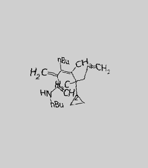 C=CCC(C)(/C(C)=C(/CCCC)C(=C)C(=C)NCCCC)C1CC1